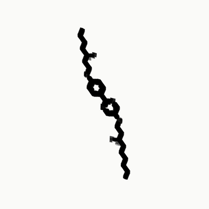 CCCCCC[C@@H](F)CCOc1cnc(-c2ccc(OCC[C@H](F)CCCC)cc2)nc1